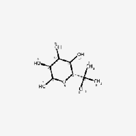 CC(C)(C)[C@@H]1OC(O)[C@@H](O)C(O)C1O